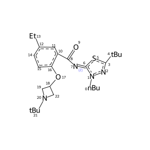 CCCCn1nc(C(C)(C)C)s/c1=N\C(=O)c1cc(CC)ccc1OC1CN(C(C)(C)C)C1